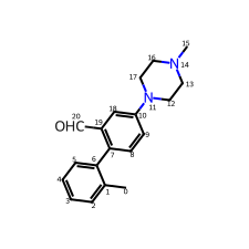 Cc1ccccc1-c1ccc(N2CCN(C)CC2)cc1C=O